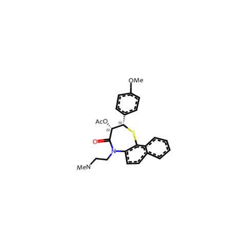 CNCCN1C(=O)[C@H](OC(C)=O)[C@H](c2ccc(OC)cc2)Sc2c1ccc1ccccc21